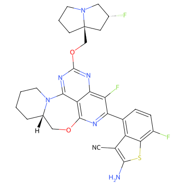 N#Cc1c(N)sc2c(F)ccc(-c3nc4c5c(nc(OC[C@@]67CCCN6C[C@H](F)C7)nc5c3F)N3CCCC[C@H]3CO4)c12